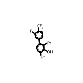 CC(C)c1c[c]c(-c2ccc(C(F)(F)F)c(F)c2)c(C(C)C)c1O